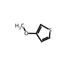 COc1[c][c]sc1